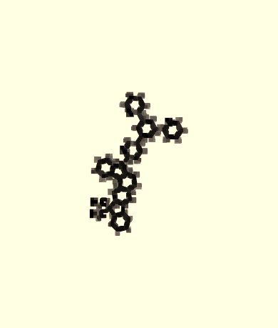 CC1(C)c2ccccc2-c2cc3ccc4c(c3cc21)c1ccccc1n4-c1ccc(-c2cc(-c3ccccn3)cc(-c3ccccn3)c2)cn1